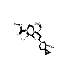 COC[C@H](CCN1CCC2(CC2)[C@H](O)C1)N1CCN(C(=O)OC(C)(C)C)[C@H](C)C1=O